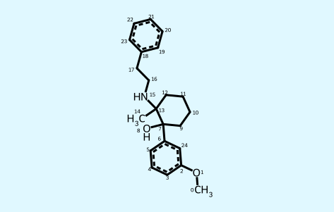 COc1cccc(C2(O)CCCCC2(C)NCCc2ccccc2)c1